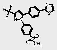 CS(=O)(=O)c1ccc(-n2nc(C(F)(F)F)cc2-c2ccc(-c3nccs3)cc2)cc1